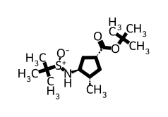 C[C@H]1C[C@@H](C(=O)OC(C)(C)C)C[C@@H]1N[S@@+]([O-])C(C)(C)C